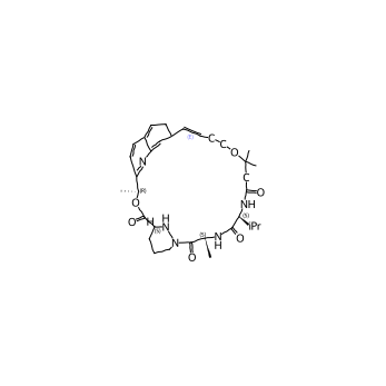 CC(C)[C@@H]1NC(=O)CC(C)(C)OCC/C=C/C2C=c3nc(ccc3=CC2)[C@@H](C)OC(=O)[C@@H]2CCCN(N2)C(=O)[C@H](C)NC1=O